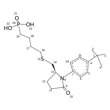 CC(C)(C)c1ccc(N2C(=O)CC[C@H]2CSCCCCP(=O)(O)O)cc1